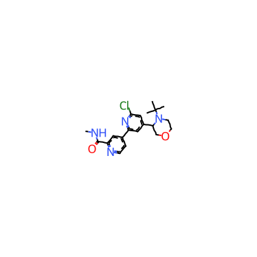 CNC(=O)c1cc(-c2cc(C3COCCN3C(C)(C)C)cc(Cl)n2)ccn1